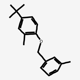 Cc1cccc(COc2ccc(C(C)(C)C)cc2C)c1